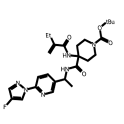 C=C(CC)C(=O)NC1(C(=O)NC(C)c2ccc(-n3cc(F)cn3)nc2)CCN(C(=O)OC(C)(C)C)CC1